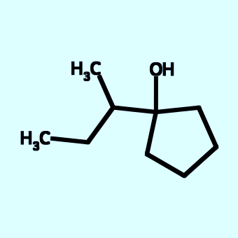 CCC(C)C1(O)CCCC1